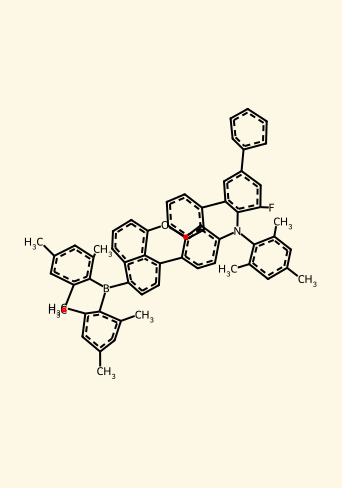 Cc1cc(C)c(B(c2c(C)cc(C)cc2C)c2ccc3c4c(cccc24)Oc2cc(N(c4c(C)cc(C)cc4C)c4c(F)cc(-c5ccccc5)cc4-c4ccccc4)ccc2-3)c(C)c1